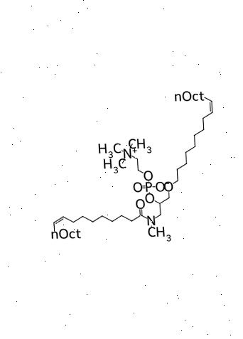 CCCCCCCC/C=C\CCCCCCCCOCC(CN(C)C(=O)CCCCCCC/C=C\CCCCCCCC)OP(=O)([O-])OCC[N+](C)(C)C